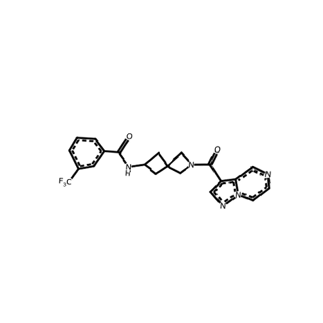 O=C(NC1CC2(C1)CN(C(=O)c1cnn3ccncc13)C2)c1cccc(C(F)(F)F)c1